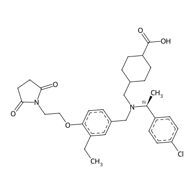 CCc1cc(CN(CC2CCC(C(=O)O)CC2)[C@@H](C)c2ccc(Cl)cc2)ccc1OCCN1C(=O)CCC1=O